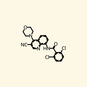 N#Cc1cnc2c(NC(=O)c3c(Cl)cccc3Cl)cccc2c1N1CCOCC1